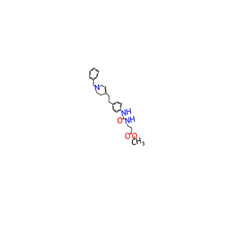 COC(=O)CCNC(=O)Nc1ccc(CCC2=CCN(Cc3ccccc3)CC2)cc1